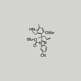 C=CCC(C)(c1c(OC)cc(C)c2c1CCN2)c1nc2ccc(C#N)cc2n1C(=O)OC(C)(C)C